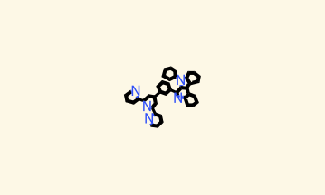 c1ccc(-n2c3ccccc3c3c4ccccc4nc(-c4cccc(-c5cc(-c6ccccn6)nc(-c6ccccn6)c5)c4)c32)cc1